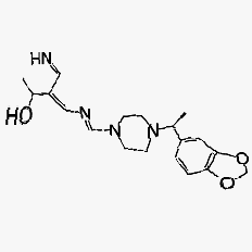 CC(O)/C(C=N)=C/N=C/N1CCN([C@@H](C)c2ccc3c(c2)OCO3)CC1